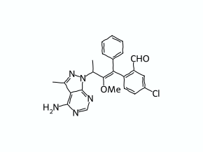 CO/C(=C(/c1ccccc1)c1ccc(Cl)cc1C=O)C(C)n1nc(C)c2c(N)ncnc21